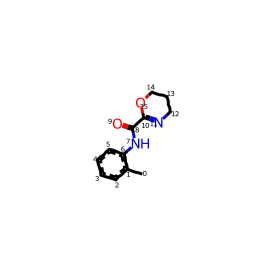 Cc1ccccc1NC(=O)C1=NCCCO1